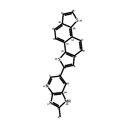 Cc1nc2ncc(-c3cc4ccc5c(ccc6ccsc65)c4s3)cc2[nH]1